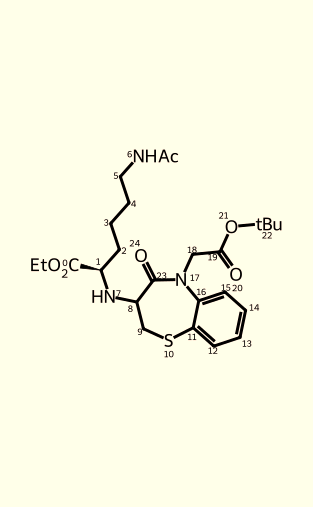 CCOC(=O)[C@@H](CCCCNC(C)=O)NC1CSc2ccccc2N(CC(=O)OC(C)(C)C)C1=O